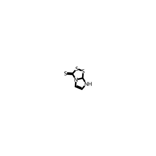 S=C1SSC2NC=CN12